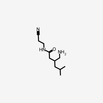 CC(C)CC(CN)CC(=O)NCCC#N